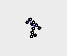 c1ccc(-c2cccc(N(c3ccc(-c4ccc5c6ccccc6c6ccccc6c5c4)cc3)c3ccc(-n4c5ccccc5c5ccccc54)c4ccccc34)c2)cc1